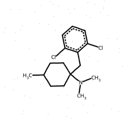 CC1CCC(Cc2c(Cl)cccc2Cl)(N(C)C)CC1